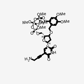 COc1cc(COC2C[C@H](n3cc(C#CCN)c(=O)[nH]c3=O)O[C@@H]2COP(=O)(OC)OP(=O)(OC)OP(=O)(OC)OC)c([N+](=O)[O-])cc1OC